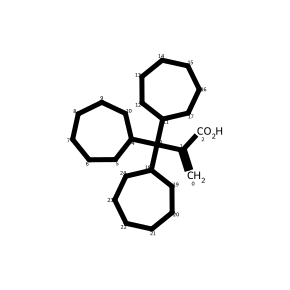 C=C(C(=O)O)C(C1CCCCCC1)(C1CCCCCC1)C1CCCCCC1